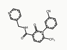 Cc1ccc(C(=O)NCc2cccnc2)c(=O)n1-c1cccc(C#N)c1